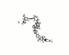 CN1CCN(C(=O)c2ccc(-c3ccc(C(=O)Nc4nc(-c5cccc(C#Cc6cc(CF)cc(C(F)(F)F)c6)c5)cs4)o3)cc2)CC1